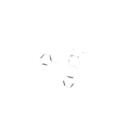 OCC1CN(Cc2ccccc2)C[C@H](OCc2ccccc2)[C@@H]1O